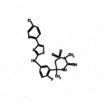 CN1C(=N)NC(C)(c2cc(Nc3nc(-c4ccc(Cl)cn4)cs3)ccc2F)CS1(=O)=O